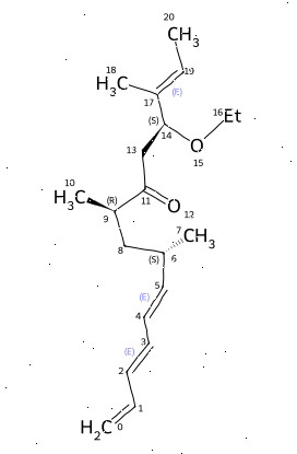 C=C/C=C/C=C/[C@@H](C)C[C@@H](C)C(=O)C[C@H](OCC)/C(C)=C/C